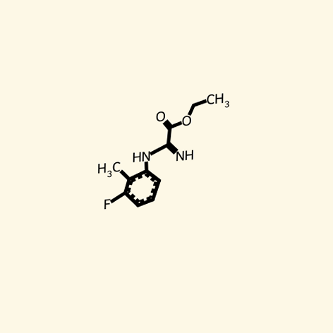 CCOC(=O)C(=N)Nc1cccc(F)c1C